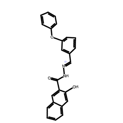 O=C(N/N=C/c1cccc(Oc2ccccc2)c1)c1cc2ccccc2cc1O